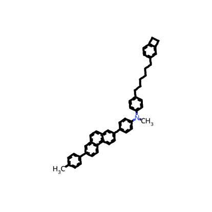 Cc1ccc(-c2ccc3c(ccc4cc(-c5ccc(N(C)c6ccc(CCCCCCc7ccc8c(c7)CC8)cc6)cc5)ccc43)c2)cc1